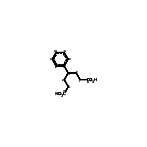 O=C(O)CCC(CCC(=O)O)c1ccccc1